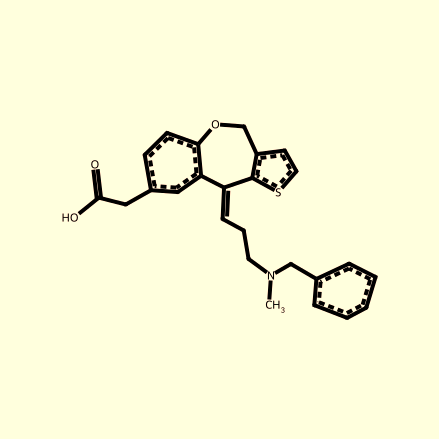 CN(CC/C=C1/c2cc(CC(=O)O)ccc2OCc2ccsc21)Cc1ccccc1